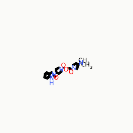 CN(C)C1CCN(C(=O)COC(=O)N2CCC(N3Cc4ccccc4NC3=O)CC2)CC1